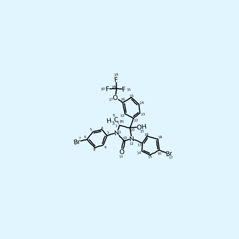 C[C@H]1N(c2ccc(Br)cc2)C(=O)N(c2ccc(Br)cc2)C1(O)c1cccc(OC(F)(F)F)c1